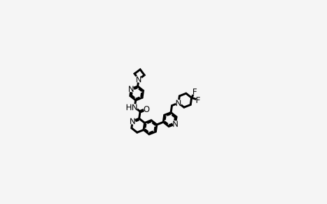 O=C(Nc1ccc(N2CCC2)nc1)C1=NCCc2ccc(-c3cncc(CN4CCC(F)(F)CC4)c3)cc21